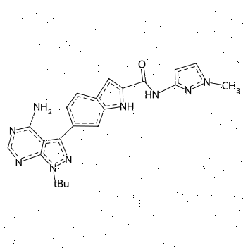 Cn1ccc(NC(=O)c2cc3ccc(-c4nn(C(C)(C)C)c5ncnc(N)c45)cc3[nH]2)n1